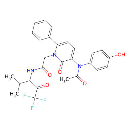 CC(=O)N(c1ccc(O)cc1)c1ccc(-c2ccccc2)n(CC(=O)NC(C(=O)C(F)(F)F)C(C)C)c1=O